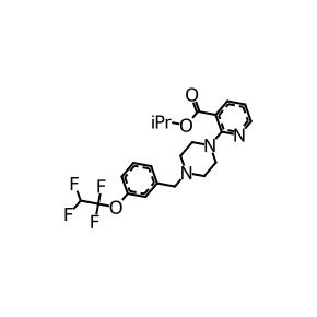 CC(C)OC(=O)c1cccnc1N1CCN(Cc2cccc(OC(F)(F)C(F)F)c2)CC1